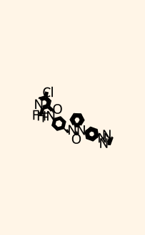 O=C(N[C@H]1CC[C@H](Cn2c(=O)n(-c3ccc(-n4nccn4)cc3)c3ccccc32)CC1)c1cc(Cl)cnc1C(F)F